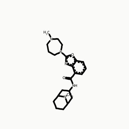 CN1CCCN(c2nc3c(C(=O)NC4CC5CCCC(C4)N5C)cccc3o2)CC1